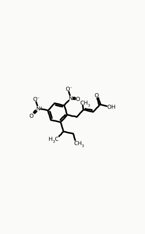 CCC(C)c1cc([N+](=O)[O-])cc([N+](=O)[O-])c1CC(C)=CC(=O)O